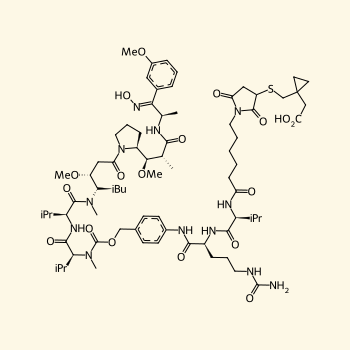 CC[C@H](C)[C@@H]([C@@H](CC(=O)N1CCC[C@H]1[C@H](OC)[C@@H](C)C(=O)N[C@H](C)/C(=N/O)c1cccc(OC)c1)OC)N(C)C(=O)[C@@H](NC(=O)[C@H](C(C)C)N(C)C(=O)OCc1ccc(NC(=O)[C@H](CCCNC(N)=O)NC(=O)[C@@H](NC(=O)CCCCCN2C(=O)CC(SCC3(CC(=O)O)CC3)C2=O)C(C)C)cc1)C(C)C